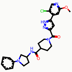 COc1cc(-c2cc(C(=O)N3CCC(C(=O)NC4CCN(c5ccccc5)C4)CC3)n[nH]2)c(Cl)cn1